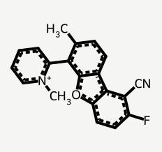 Cc1ccc2c(oc3ccc(F)c(C#N)c32)c1-c1cccc[n+]1C